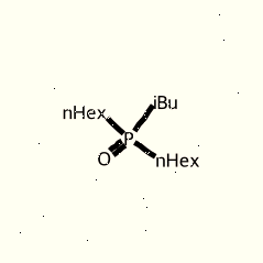 CCCCCCP(=O)(CCCCCC)C(C)CC